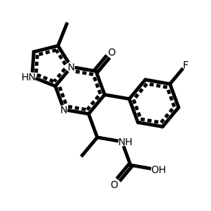 Cc1c[nH]c2nc(C(C)NC(=O)O)c(-c3cccc(F)c3)c(=O)n12